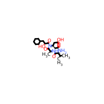 CC(C)[C@H](N)C(=O)N[C@@H](C)C(=O)N(C(=O)C(O)CC1CCCCC1)[C@H](CC=O)CC(=O)O